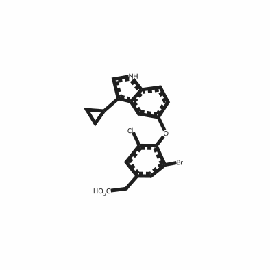 O=C(O)Cc1cc(Cl)c(Oc2ccc3[nH]cc(C4CC4)c3c2)c(Br)c1